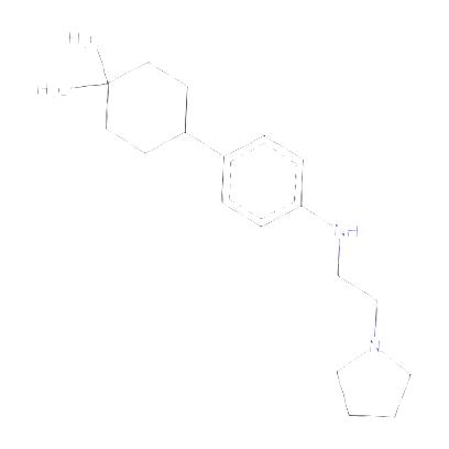 CC1(C)CCC(c2ccc(NCCN3CCCC3)cc2)CC1